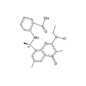 CC[S+]([O-])c1oc2c([C@@H](C)Nc3ccccc3C(=O)O)cc(C)cc2c(=O)c1C